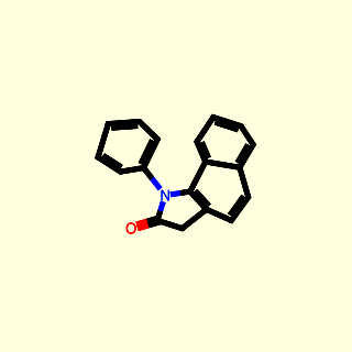 O=C1Cc2ccc3ccccc3c2N1c1ccccc1